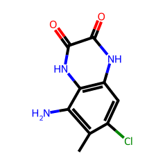 Cc1c(Cl)cc2[nH]c(=O)c(=O)[nH]c2c1N